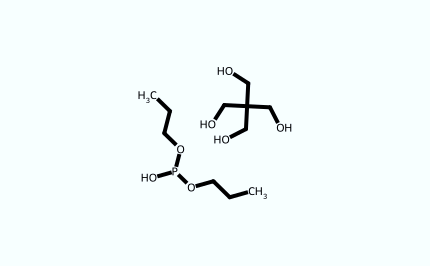 CCCOP(O)OCCC.OCC(CO)(CO)CO